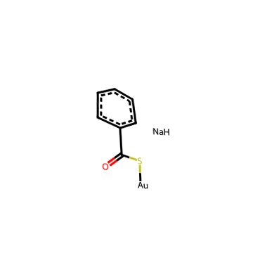 O=C([S][Au])c1ccccc1.[NaH]